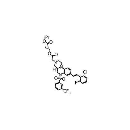 CC(C)OC(=O)OCOC(=O)CN1CCN2c3ccc(/C=C/c4c(F)cccc4Cl)cc3N(S(=O)(=O)c3cccc(C(F)(F)F)c3)C[C@@H]2C1